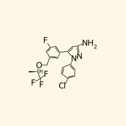 C[C@@H](OCc1cc(F)cc(-c2cc(N)nn2-c2ccc(Cl)cc2)c1)C(F)(F)F